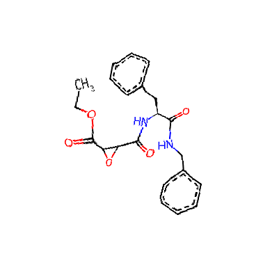 CCOC(=O)C1OC1C(=O)N[C@@H](Cc1ccccc1)C(=O)NCc1ccccc1